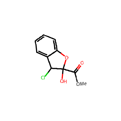 COC(=O)C1(O)Oc2ccccc2C1Cl